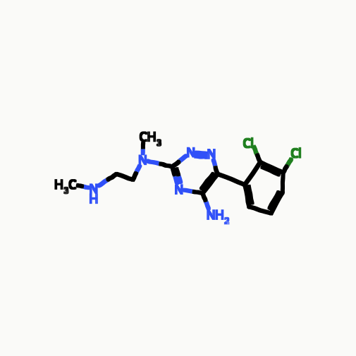 CNCCN(C)c1nnc(-c2cccc(Cl)c2Cl)c(N)n1